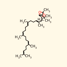 CC(C)=CCCC(C)=CCCC(C)=CCCC=C(C)CCC=C(C)CC1OC2(C)OC1=C2C(C)(C)C